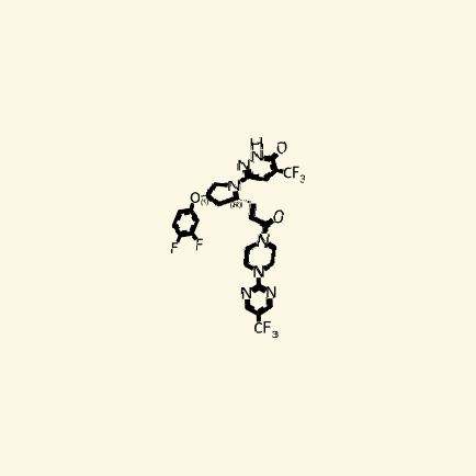 O=C(CC[C@@H]1C[C@H](Oc2ccc(F)c(F)c2)CN1c1cc(C(F)(F)F)c(=O)[nH]n1)N1CCN(c2ncc(C(F)(F)F)cn2)CC1